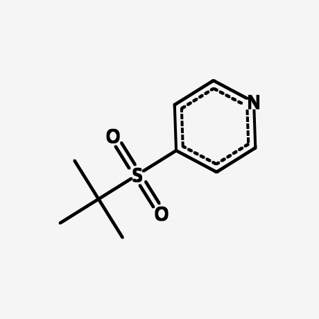 CC(C)(C)S(=O)(=O)c1ccncc1